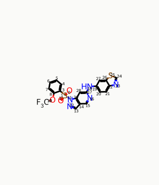 O=S(=O)(c1ccccc1OC(F)(F)F)n1ncc2cnc(Nc3ccc4ncsc4c3)cc21